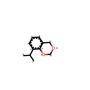 CC(C)c1cccc2c1OCOC2